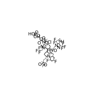 CC(C)(CCc1ccc(-c2ccc(Cl)c3c(N(C(=O)OCOP(=O)(O)O)S(C)(=O)=O)nn(CC(F)(F)F)c23)c([C@H](Cc2cc(F)cc(F)c2)NC(=O)Cn2nc(C(F)(F)F)c3c2C(F)(F)C2C[C@H]32)n1)S(C)(=O)=O